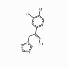 ON=C(Cn1cncn1)c1ccc(Cl)c(Cl)c1